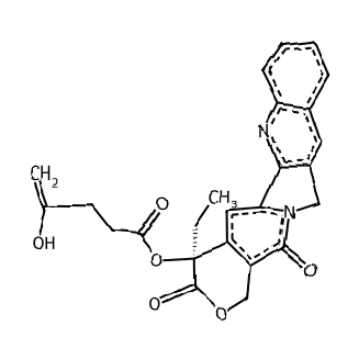 C=C(O)CCC(=O)O[C@]1(CC)C(=O)OCc2c1cc1n(c2=O)Cc2cc3ccccc3nc2-1